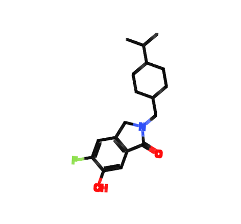 CC(C)C1CCC(CN2Cc3cc(F)c(O)cc3C2=O)CC1